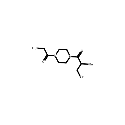 CC(C)C[C](C(=O)N1CCN(C(=O)CN)CC1)C(C)(C)C